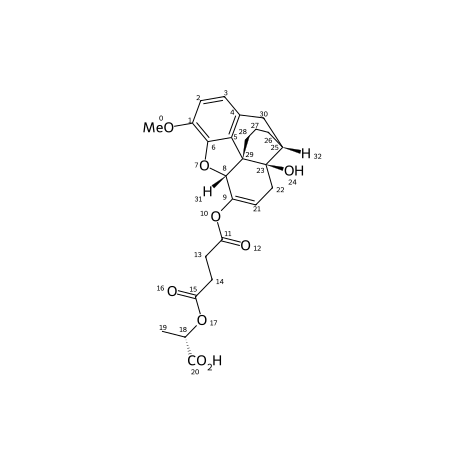 COc1ccc2c3c1O[C@H]1C(OC(=O)CCC(=O)O[C@@H](C)C(=O)O)=CC[C@@]4(O)[C@H](CCC[C@]314)C2